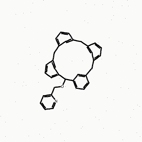 c1ccc(COC2c3cccc(c3)Cc3cccc(c3)Cc3cccc(c3)Cc3cccc2c3)nc1